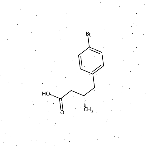 C[C@H](CC(=O)O)Cc1ccc(Br)cc1